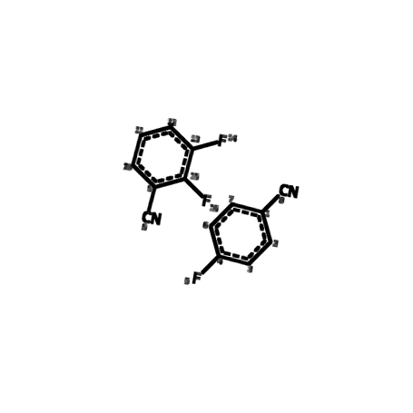 N#Cc1ccc(F)cc1.N#Cc1cccc(F)c1F